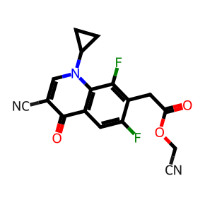 N#CCOC(=O)Cc1c(F)cc2c(=O)c(C#N)cn(C3CC3)c2c1F